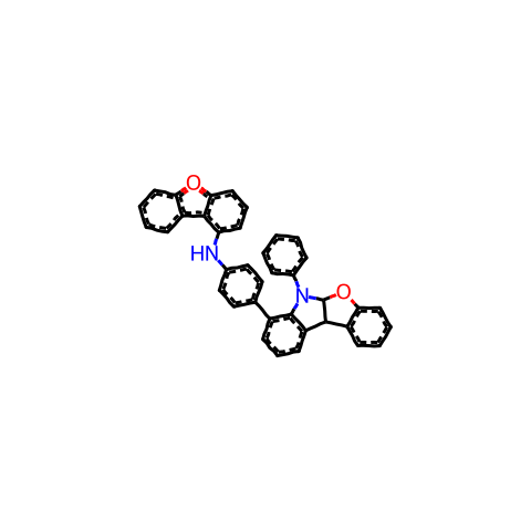 c1ccc(N2c3c(-c4ccc(Nc5cccc6oc7ccccc7c56)cc4)cccc3C3c4ccccc4OC32)cc1